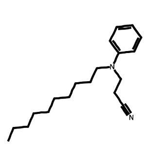 CCCCCCCCCCN(CCC#N)c1ccccc1